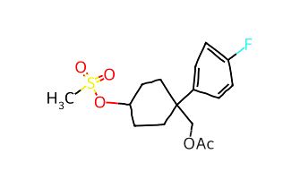 CC(=O)OCC1(c2ccc(F)cc2)CCC(OS(C)(=O)=O)CC1